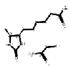 C[C@@H]1NC(=O)N[C@@H]1CCCCCC(=O)O.NC(=O)CI